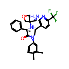 Cc1ccc(N(CCc2ccc(C(F)(F)F)nc2)C(=O)[C@@H](NC2(CN)COC2)c2ccccc2)cc1C